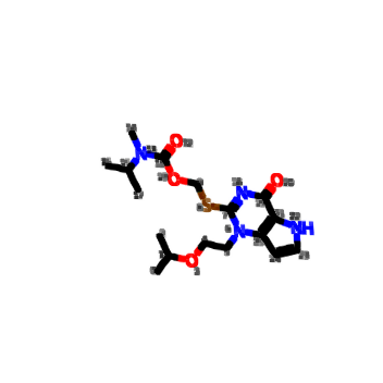 CC(C)OCCn1c(SCOC(=O)N(C)C(C)C)nc(=O)c2[nH]ccc21